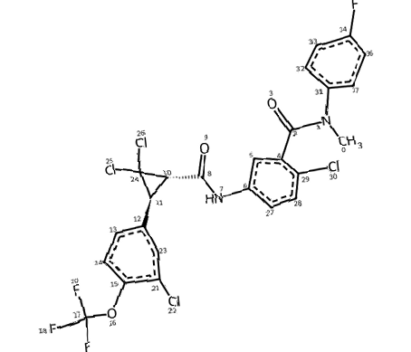 CN(C(=O)c1cc(NC(=O)[C@@H]2[C@@H](c3ccc(OC(F)(F)F)c(Cl)c3)C2(Cl)Cl)ccc1Cl)c1ccc(F)cc1